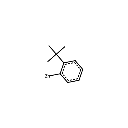 CC(C)(C)c1cccc[c]1[Zn]